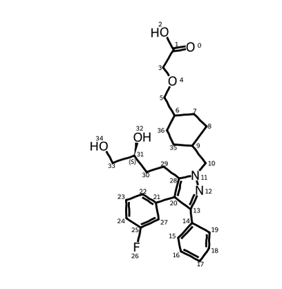 O=C(O)COCC1CCC(Cn2nc(-c3ccccc3)c(-c3cccc(F)c3)c2CC[C@H](O)CO)CC1